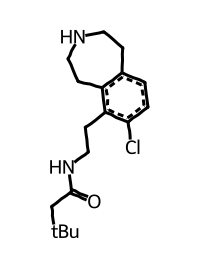 CC(C)(C)CC(=O)NCCc1c(Cl)ccc2c1CCNCC2